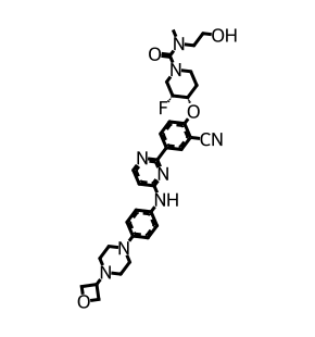 CN(CCO)C(=O)N1CC[C@H](Oc2ccc(-c3nccc(Nc4ccc(N5CCN(C6COC6)CC5)cc4)n3)cc2C#N)[C@H](F)C1